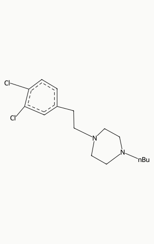 CCCCN1CCN(CCc2ccc(Cl)c(Cl)c2)CC1